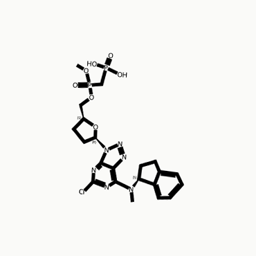 COP(=O)(CP(=O)(O)O)OC[C@@H]1CC[C@H](n2nnc3c(N(C)[C@H]4CCc5ccccc54)nc(Cl)nc32)O1